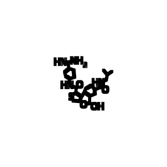 CC(C)CNC(=O)c1ccc(-c2ccsc2C(=O)Nc2ccc(C(=N)N)cc2)c(C(=O)O)c1